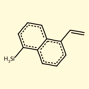 C=Cc1cccc2c([SiH3])cccc12